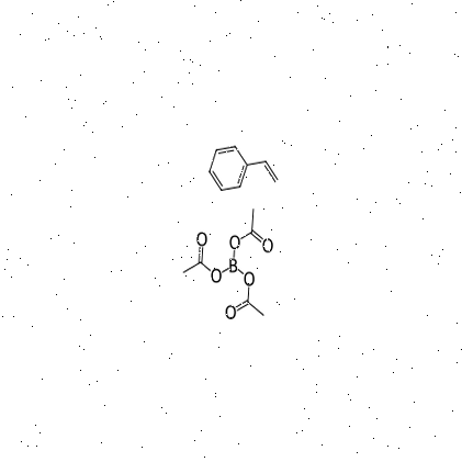 C=Cc1ccccc1.CC(=O)OB(OC(C)=O)OC(C)=O